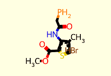 Br.COC(=O)c1scc(C)c1NC(=O)CP